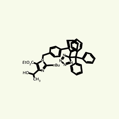 CCCCc1nc(C(C)O)c(C(=O)OCC)n1Cc1ccc(-c2ccccc2C2(C(c3ccccc3)(c3ccccc3)c3ccccc3)N=NN=N2)cc1